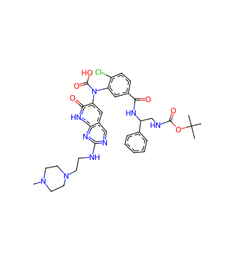 CN1CCN(CCNc2ncc3cc(N(C(=O)O)c4cc(C(=O)NC(CNC(=O)OC(C)(C)C)c5ccccc5)ccc4Cl)c(=O)[nH]c3n2)CC1